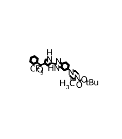 C[C@@H]1CN(c2ccc3nc(-c4cc(C(=O)c5ccccc5C(F)(F)F)c[nH]4)[nH]c3c2)CCN1C(=O)OC(C)(C)C